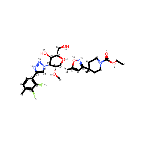 CCOC(=O)N1CCC(C)(c2cc(C[C@H]3O[C@H](CO)[C@H](O)[C@H](n4cc(-c5ccc(C)c(F)c5F)nn4)[C@H]3OC)on2)CC1